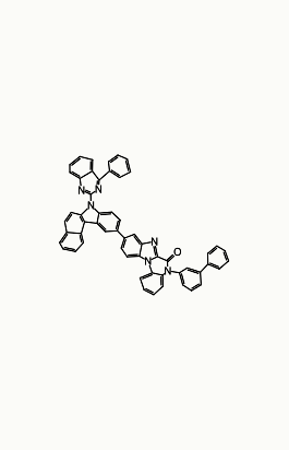 O=c1c2nc3cc(-c4ccc5c(c4)c4c6ccccc6ccc4n5-c4nc(-c5ccccc5)c5ccccc5n4)ccc3n2c2ccccc2n1-c1cccc(-c2ccccc2)c1